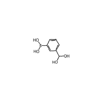 OB(O)c1cccc(C(O)O)c1